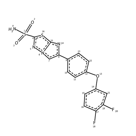 NS(=O)(=O)c1nn2cc(-c3ccc(Oc4ccc(F)c(F)c4)cc3)nc2s1